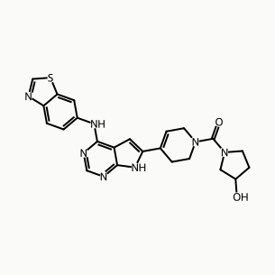 O=C(N1CC=C(c2cc3c(Nc4ccc5ncsc5c4)ncnc3[nH]2)CC1)N1CCC(O)C1